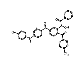 CN(c1ccc(Cl)cc1)c1ccc(C(=O)c2ccc(C(=O)c3ccc(C(F)(F)F)cc3)c(C(O)C(=O)c3ccccc3)c2)nc1